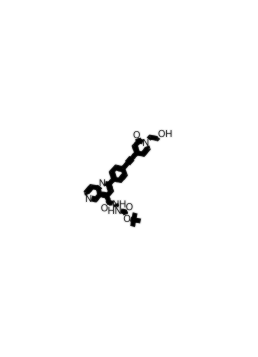 CC(C)(C)OC(=O)NNC(=O)c1cc(-c2ccc(C#Cc3ccn(CCO)c(=O)c3)cc2)nc2ccncc12